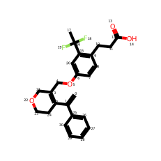 C=C(C1=C(COc2ccc(CCC(=O)O)c(C(C)(F)F)c2)COCC1)c1ccccc1